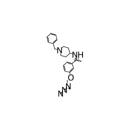 C[C@H](NC1CCN(Cc2ccccc2)CC1)c1cccc(OCN=[N+]=[N-])c1